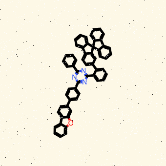 c1ccc(-c2nc(-c3ccc(-c4ccc5c(c4)oc4ccccc45)cc3)nc(-c3ccccc3-c3ccc4c(c3)C3(c5ccccc5-c5ccccc53)c3ccccc3-4)n2)cc1